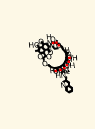 CO[C@H]1/C=C/O[C@@]2(C)Oc3c(C)c(O)c4c(c3C2=O)C(=O)C(N2CCOCC2)=C(NC(=O)/C(C)=C\C=C\[C@H](C)[C@H](O)[C@@H](C)[C@@H](O)[C@@H](C)[C@H](OC(=O)NCc2cnc3ccccc3c2)[C@@H]1C)C4=O